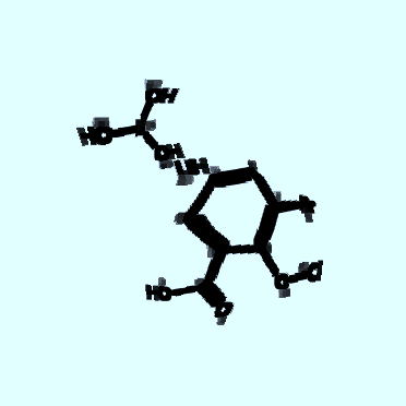 O=C(O)c1cccc(Br)c1OCl.OB(O)O.[LiH]